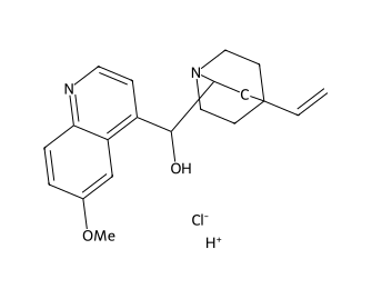 C=CC12CCN(CC1)C(C(O)c1ccnc3ccc(OC)cc13)C2.[Cl-].[H+]